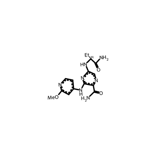 CC[C@@H](Nc1cnc(C(N)=O)c(Nc2ccnc(OC)c2)n1)C(N)=O